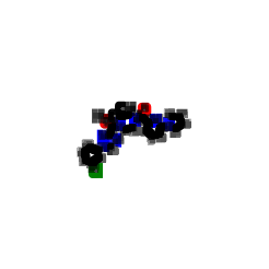 CC1(C)CN(C(=O)c2cccc(N3CCCC3)n2)CCN1C(=O)c1ncn(-c2cccc(Cl)c2)n1